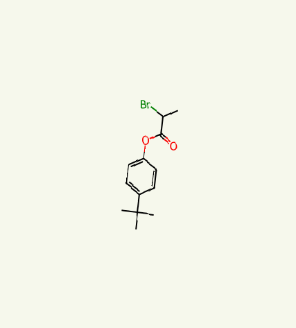 CC(Br)C(=O)Oc1ccc(C(C)(C)C)cc1